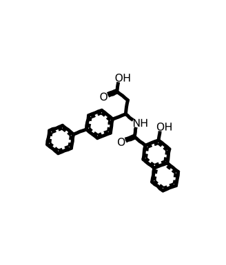 O=C(O)CC(NC(=O)c1cc2ccccc2cc1O)c1ccc(-c2ccccc2)cc1